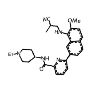 CCN1CCC(NC(=O)c2cccc(-c3ccc4ccc(OC)c(NCC(C)C#N)c4c3)n2)CC1